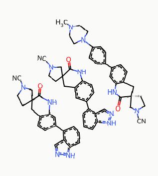 CN1CCN(c2ccc(-c3ccc4c(c3)NC(=O)[C@@]3(CCN(C#N)C3)C4)cc2)CC1.N#CN1CCC2(Cc3cc(-c4cccc5[nH]ncc45)ccc3NC2=O)C1.N#CN1CCC2(Cc3ccc(-c4cccc5[nH]ncc45)cc3NC2=O)C1